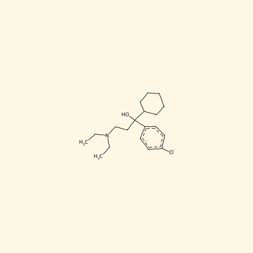 CCN(CC)CCC(O)(c1ccc(Cl)cc1)C1CCCCC1